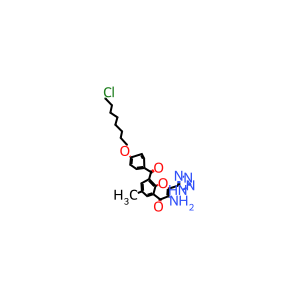 Cc1cc(C(=O)c2ccc(OCCCCCCCCCl)cc2)c2oc(-c3nnn[nH]3)c(N)c(=O)c2c1